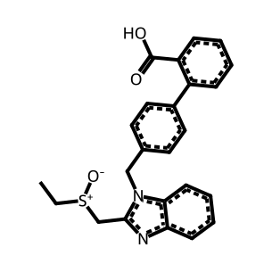 CC[S+]([O-])Cc1nc2ccccc2n1Cc1ccc(-c2ccccc2C(=O)O)cc1